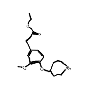 CCOC(=O)Cc1ccc(OC2CCNCC2)c(OC)c1